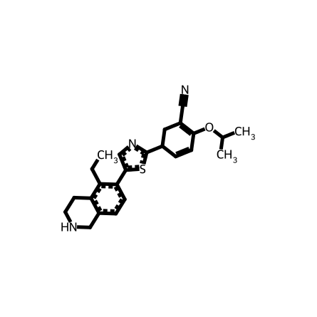 CCc1c(-c2cnc(C3C=CC(OC(C)C)=C(C#N)C3)s2)ccc2c1CCNC2